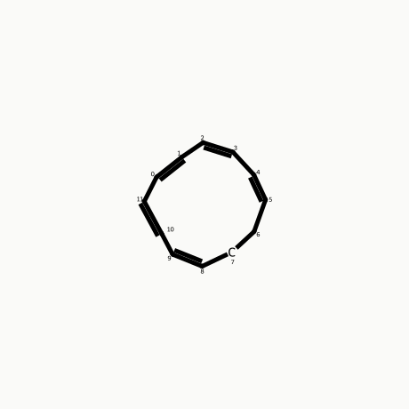 C1=CC=CC=CCCC=CC=C1